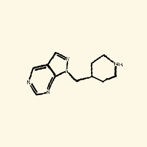 c1ncc2cnn(CC3CCNCC3)c2n1